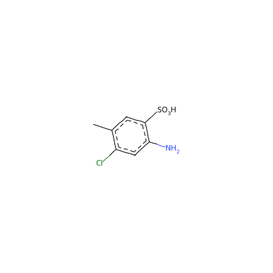 Cc1cc(S(=O)(=O)O)c(N)cc1Cl